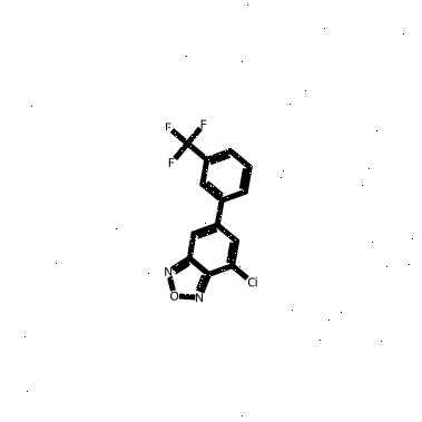 FC(F)(F)c1cccc(-c2cc(Cl)c3nonc3c2)c1